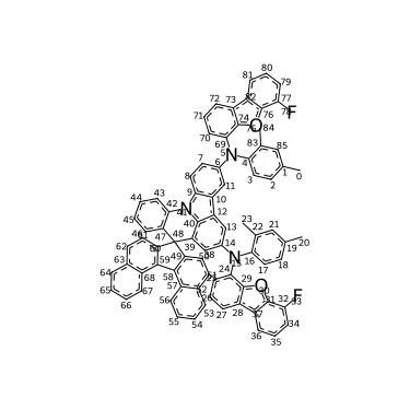 Cc1ccc(N(c2ccc3c(c2)c2cc(N(c4ccc(C)cc4C)c4cccc5c4oc4c(F)cccc45)cc4c2n3-c2ccccc2C42c3ccc4ccccc4c3-c3c2ccc2ccccc32)c2cccc3c2oc2c(F)cccc23)c(C)c1